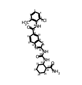 Cc1cccc(Cl)c1NC(=O)c1ccc2nc(NC(=O)NC3CCCCC3C(N)=O)sc2c1